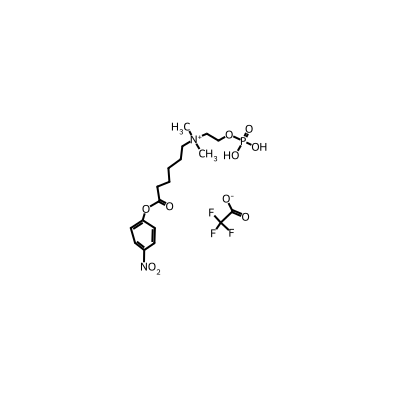 C[N+](C)(CCCCCC(=O)Oc1ccc([N+](=O)[O-])cc1)CCOP(=O)(O)O.O=C([O-])C(F)(F)F